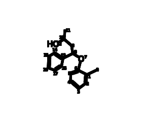 Cc1ccccc1OC(CC(C)O)c1ccccc1